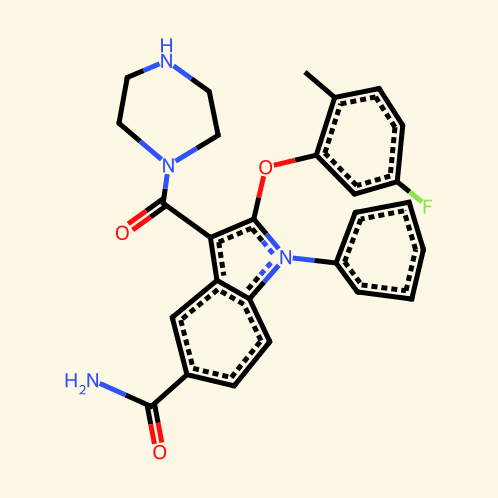 Cc1ccc(F)cc1Oc1c(C(=O)N2CCNCC2)c2cc(C(N)=O)ccc2n1-c1ccccc1